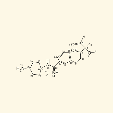 CO[C@](C)(C(C)=O)[C@H]1CCc2cc(C(=N)N[C@]3(C)CC[C@@H](N)CC3)ccc2O1